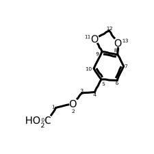 O=C(O)COCCc1ccc2c(c1)OCO2